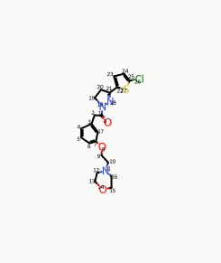 O=C(Cc1cccc(OCCN2CCOCC2)c1)N1CCC(c2ccc(Cl)s2)=N1